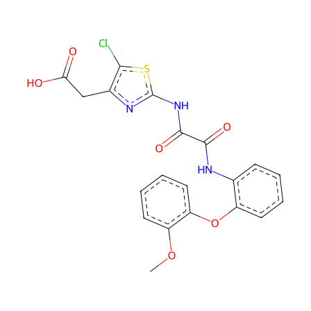 COc1ccccc1Oc1ccccc1NC(=O)C(=O)Nc1nc(CC(=O)O)c(Cl)s1